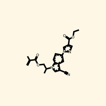 C=C(C)C(=O)OCC(C)n1cc(C#N)c2cc(-n3cc(C(=O)OCC)cn3)ccc21